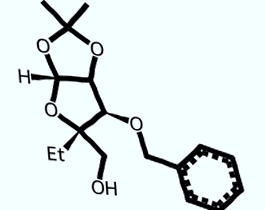 CC[C@@]1(CO)O[C@@H]2OC(C)(C)OC2[C@H]1OCc1ccccc1